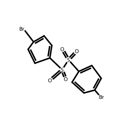 O=S(=O)(c1ccc(Br)cc1)S(=O)(=O)c1ccc(Br)cc1